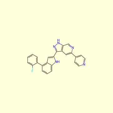 Fc1ccccc1-c1cccc2[nH]c(-c3n[nH]c4cnc(-c5ccncc5)cc34)cc12